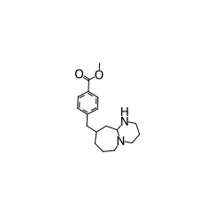 COC(=O)c1ccc(CC2CCCN3CCCNC3C2)cc1